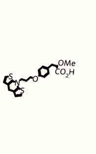 COC(Cc1ccc(OCCCN2c3sccc3Cc3ccsc32)cc1)C(=O)O